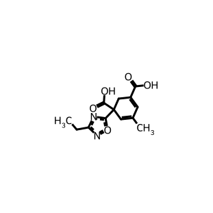 CCc1noc(C2(C(=O)O)C=C(C)C=C(C(=O)O)C2)n1